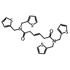 O=C(CC=CCC(=O)N(Cc1cccs1)Cc1cccs1)N(Cc1cccs1)Cc1cccs1